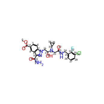 COC(=O)c1ccc2c(c1)c(C(N)=O)nn2CC(O)N(CC(=O)NCc1cccc(Cl)c1F)C1CC1